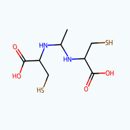 CC(NC(CS)C(=O)O)NC(CS)C(=O)O